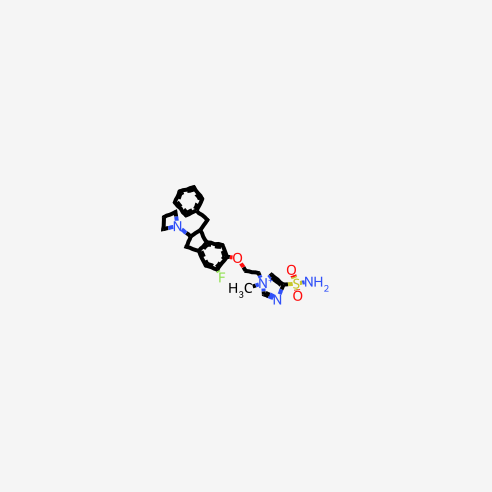 C[N+]1(CCOc2cc3c(cc2F)CC(N2CCC2)C3Cc2ccccc2)C=NC(S(N)(=O)=O)=C1